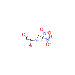 O=C=C(Br)N1CC([N+](=O)[O-])([N+](=O)[O-])C1